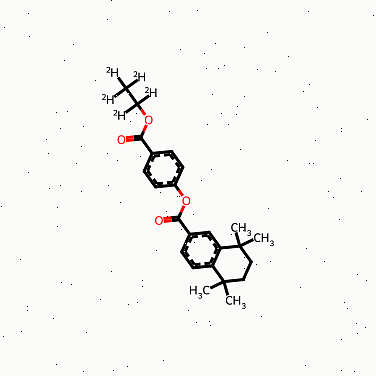 [2H]C([2H])([2H])C([2H])([2H])OC(=O)c1ccc(OC(=O)c2ccc3c(c2)C(C)(C)CCC3(C)C)cc1